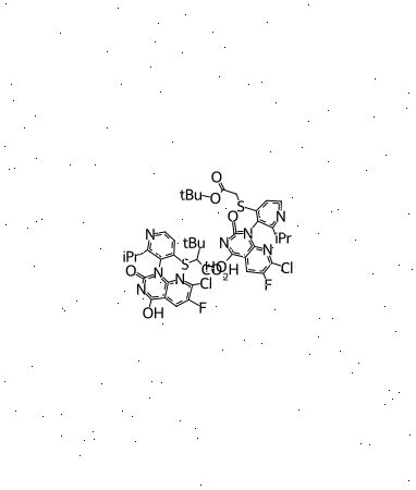 CC(C)c1nccc(SC(C(=O)O)C(C)(C)C)c1-n1c(=O)nc(O)c2cc(F)c(Cl)nc21.CC(C)c1nccc(SCC(=O)OC(C)(C)C)c1-n1c(=O)nc(O)c2cc(F)c(Cl)nc21